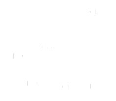 CCCCC(O)C(O)(CC)C(C)CC